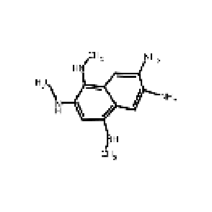 CNc1cc(NC)c2cc(N)c(N)cc2c1NC